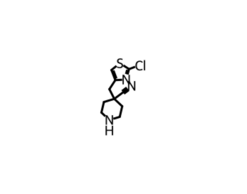 N#CC1(Cc2csc(Cl)n2)CCNCC1